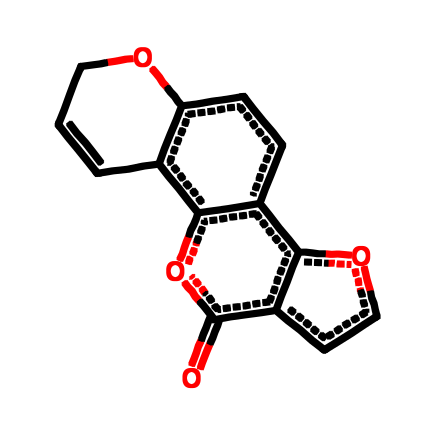 O=c1oc2c3c(ccc2c2occc12)OCC=C3